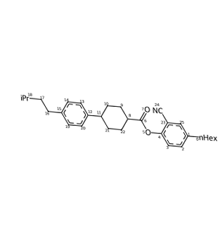 CCCCCCc1ccc(OC(=O)C2CCC(c3ccc(CCC(C)C)cc3)CC2)c(C#N)c1